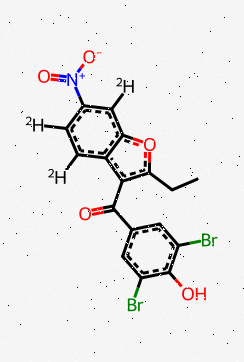 [2H]c1c([N+](=O)[O-])c([2H])c2oc(CC)c(C(=O)c3cc(Br)c(O)c(Br)c3)c2c1[2H]